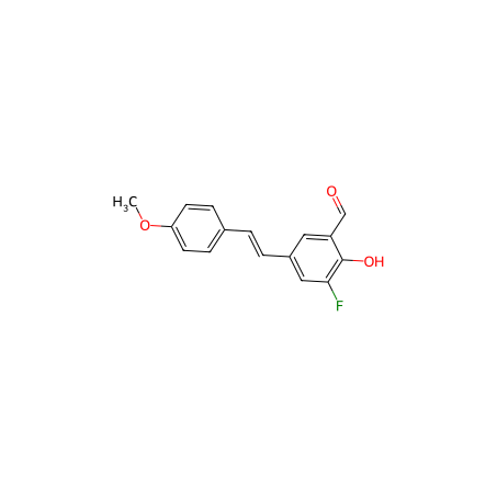 COc1ccc(/C=C/c2cc(F)c(O)c(C=O)c2)cc1